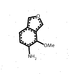 COc1c(N)ccc2cocc12